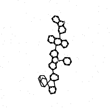 c1ccc(-n2c3cc(-c4ccc5c(c4)C4(c6ccccc6-5)C5CC6CC(C5)CC4C6)ccc3c3ccc(-c4c5ccccc5c(-c5ccc6sc7ccccc7c6c5)c5ccccc45)cc32)cc1